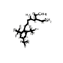 CC(CCCc1c(C(F)(F)F)cc(C(F)(F)F)cc1C(F)(F)F)CC(CN)C(=O)O